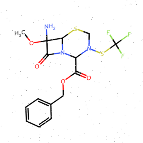 COC1(N)C(=O)N2C(C(=O)OCc3ccccc3)N(SC(F)(F)F)CSC21